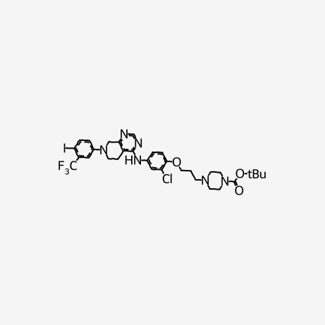 CC(C)(C)OC(=O)N1CCN(CCCOc2ccc(Nc3ncnc4c3CCN(c3ccc(I)c(C(F)(F)F)c3)C4)cc2Cl)CC1